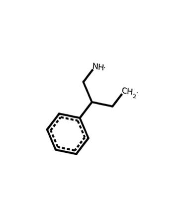 [CH2]CC(C[NH])c1ccccc1